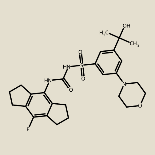 CC(C)(O)c1cc(N2CCOCC2)cc(S(=O)(=O)NC(=O)Nc2c3c(c(F)c4c2CCC4)CCC3)c1